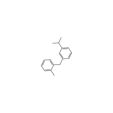 Cc1ccccc1Cc1cccc(C(C)C)c1